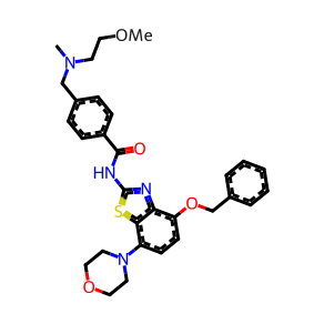 COCCN(C)Cc1ccc(C(=O)Nc2nc3c(OCc4ccccc4)ccc(N4CCOCC4)c3s2)cc1